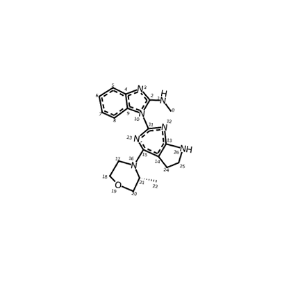 CNc1nc2ccccc2n1-c1nc2c(c(N3CCOC[C@H]3C)n1)CCN2